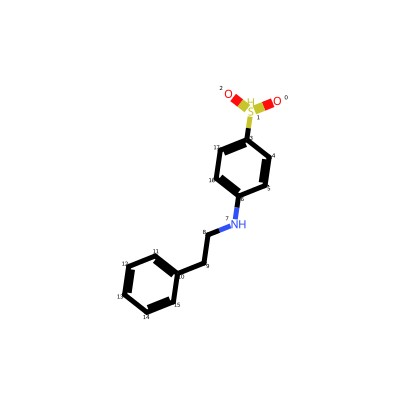 O=[SH](=O)c1c[c]c(NCCc2ccccc2)cc1